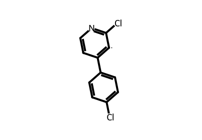 Clc1ccc(-c2[c]c(Cl)ncc2)cc1